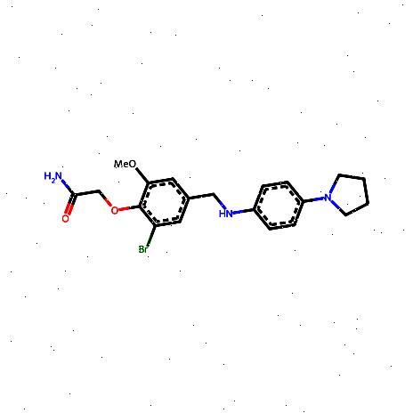 COc1cc(CNc2ccc(N3CCCC3)cc2)cc(Br)c1OCC(N)=O